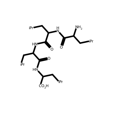 CC(C)CC(N)C(=O)NC(CC(C)C)C(=O)NC(CC(C)C)C(=O)NC(CC(C)C)C(=O)O